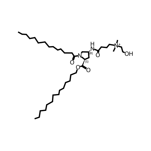 CCCCCCCCCCCCCCOC(=O)[C@@H]1C[C@@H](NC(=O)CCC[N+](C)(C)CCO)CN1C(=O)CCCCCCCCCCCCC